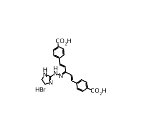 Br.O=C(O)c1ccc(C=CC(C=Cc2ccc(C(=O)O)cc2)=NNC2=NCCN2)cc1